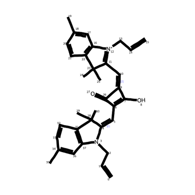 C=CCN1/C(=C/C2=C(O)C(=C/C3=[N+](CC=C)c4cc(C)ccc4C3(C)C)/C2=O)C(C)(C)c2ccc(C)cc21